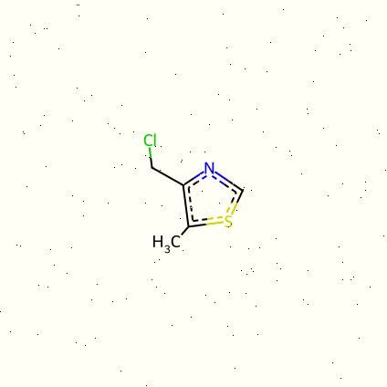 Cc1scnc1CCl